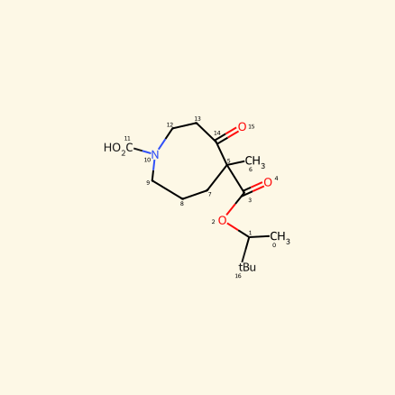 CC(OC(=O)C1(C)CCCN(C(=O)O)CCC1=O)C(C)(C)C